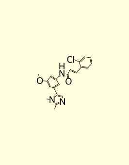 COc1cc(NC(=O)/C=C/c2ccccc2Cl)cc(-c2cnc(C)n2C)c1